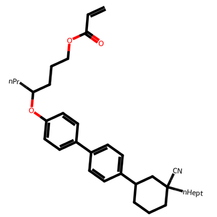 C=CC(=O)OCCCC(CCC)Oc1ccc(-c2ccc(C3CCCC(C#N)(CCCCCCC)C3)cc2)cc1